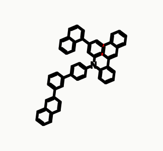 c1cc(-c2ccc(N(c3cccc(-c4cccc5ccccc45)c3)c3ccccc3-c3ccc4ccccc4c3)cc2)cc(-c2ccc3ccccc3c2)c1